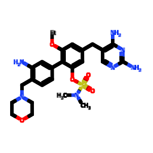 CCOc1cc(Cc2cnc(N)nc2N)cc(OS(=O)(=O)N(C)C)c1-c1ccc(CN2CCOCC2)c(N)c1